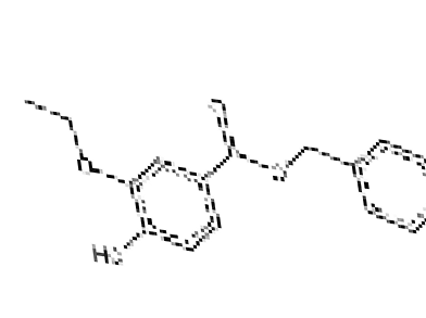 CCOc1cc(C(=O)OCc2ccccc2)ccc1O